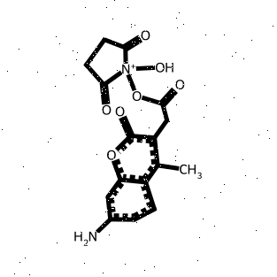 Cc1c(CC(=O)O[N+]2(O)C(=O)CCC2=O)c(=O)oc2cc(N)ccc12